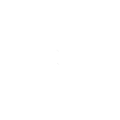 COC(=O)c1cc(F)c(Cl)nc1Nc1cc(OC)cc(OC)c1